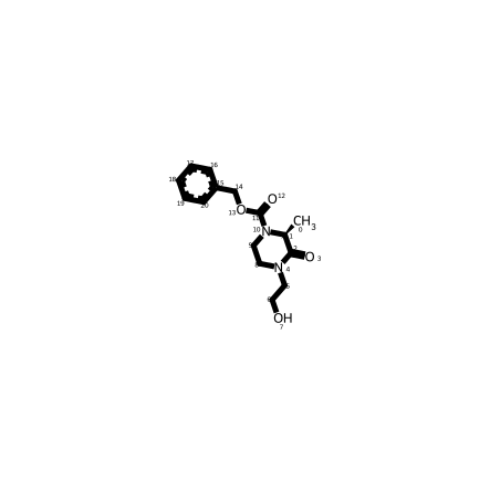 C[C@H]1C(=O)N(CCO)CCN1C(=O)OCc1ccccc1